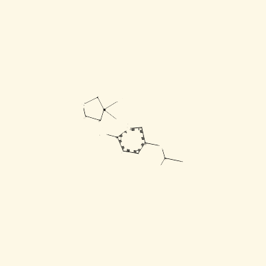 FC(F)Oc1ccc(O[C@@H]2CNCC2(F)F)nc1